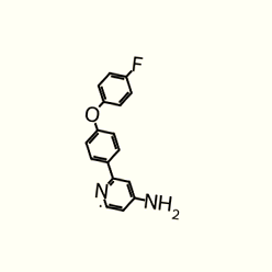 Nc1c[c]nc(-c2ccc(Oc3ccc(F)cc3)cc2)c1